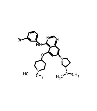 CN1CCC(Oc2cc(N3CC[C@@H](N(C)C)C3)cc3ncnc(Nc4cccc(Br)c4)c23)CC1.Cl